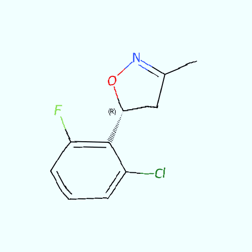 CC1=NO[C@@H](c2c(F)cccc2Cl)C1